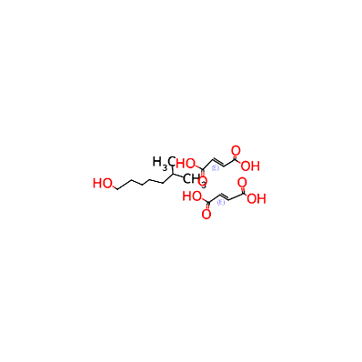 CC(C)CCCCCO.O=C(O)/C=C/C(=O)O.O=C(O)/C=C/C(=O)O